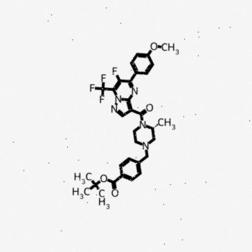 COc1ccc(-c2nc3c(C(=O)N4CCN(Cc5ccc(C(=O)OC(C)(C)C)cc5)C[C@H]4C)cnn3c(C(F)(F)F)c2F)cc1